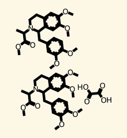 COC(=O)C(C)N1CCc2cc(OC)c(OC)cc2C1Cc1ccc(OC)c(OC)c1.COC(=O)C(C)N1CCc2cc(OC)c(OC)cc2C1Cc1ccc(OC)c(OC)c1.O=C(O)C(=O)O